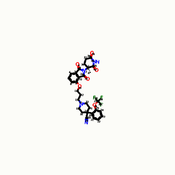 C[C@]1(N2C(=O)c3cccc(OCCCN4CCC(C#N)(c5ccccc5OC(F)(F)F)CC4)c3C2=O)CCC(=O)NC1=O